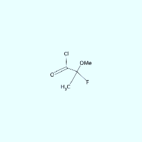 COC(C)(F)C(=O)Cl